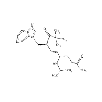 CC(C)N[C@H](/C=C/[C@@H](Cc1c[nH]c2ccccc12)C(=O)C(C)(C)C)CCC(N)=O